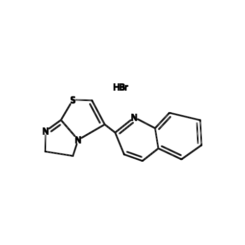 Br.C1=C(c2ccc3ccccc3n2)N2CCN=C2S1